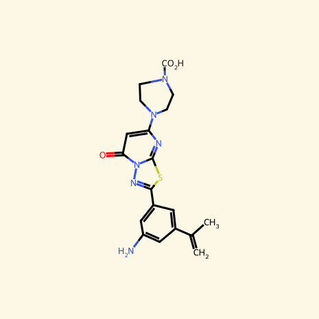 C=C(C)c1cc(N)cc(-c2nn3c(=O)cc(N4CCN(C(=O)O)CC4)nc3s2)c1